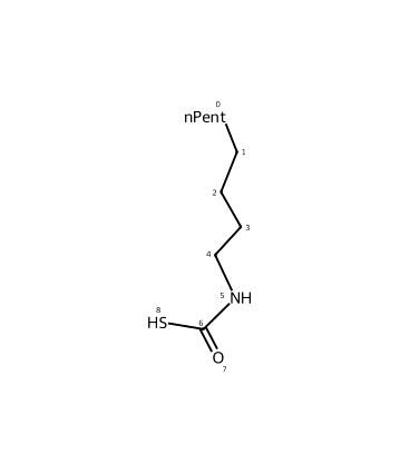 CCCCCCCCCNC(=O)S